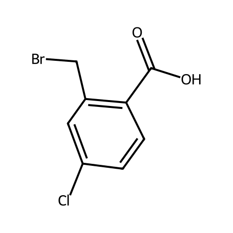 O=C(O)c1ccc(Cl)cc1CBr